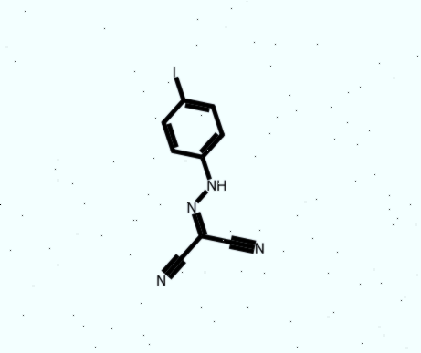 N#CC(C#N)=NNc1ccc(I)cc1